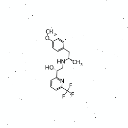 COc1ccc(C[C@@H](C)NC[C@@H](O)c2cccc(C(F)(F)F)n2)cc1